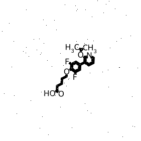 CC(C)Oc1ncccc1-c1cc(F)c(OCCCCC(=O)O)c(F)c1